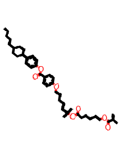 C=C(C)C(=O)OCCCCCC(=O)OC(C)(C)CCCCCOc1ccc(C(=O)Oc2ccc(C3CCC(CCCCC)CC3)cc2)cc1